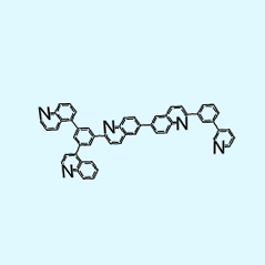 c1cncc(-c2cccc(-c3ccc4cc(-c5ccc6nc(-c7cc(-c8cccc9ncccc89)cc(-c8ccnc9ccccc89)c7)ccc6c5)ccc4n3)c2)c1